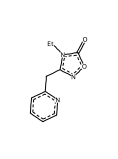 CCn1c(Cc2ccccn2)noc1=O